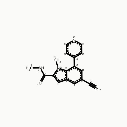 CNC(=O)c1cc2cc(C#N)cc(-c3ccncc3)c2n1C